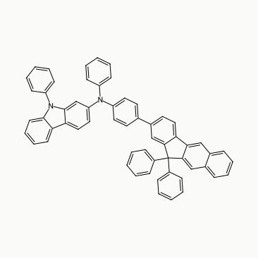 c1ccc(N(c2ccc(-c3ccc4c(c3)C(c3ccccc3)(c3ccccc3)c3cc5ccccc5cc3-4)cc2)c2ccc3c4ccccc4n(-c4ccccc4)c3c2)cc1